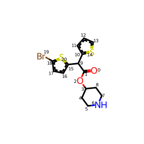 O=C(OC1CCNCC1)C(c1cccs1)c1ccc(Br)s1